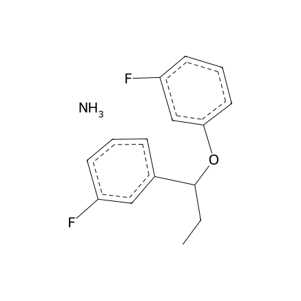 CCC(Oc1cccc(F)c1)c1cccc(F)c1.N